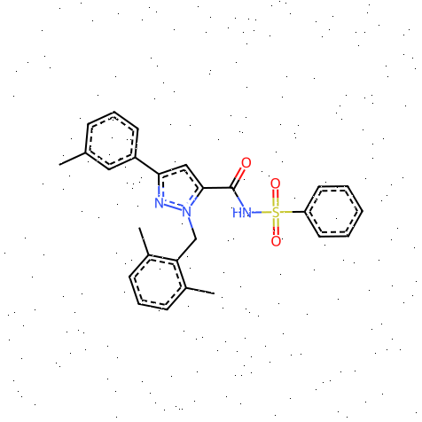 Cc1cccc(-c2cc(C(=O)NS(=O)(=O)c3ccccc3)n(Cc3c(C)cccc3C)n2)c1